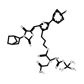 CC(C)(C)OC(=O)N[C@@H](CC(N)=O)C(=O)OCCCc1cc(-c2ccc(F)cc2)oc1/C=C1\SC(=S)N(C2CC3CCC2C3)C1=O